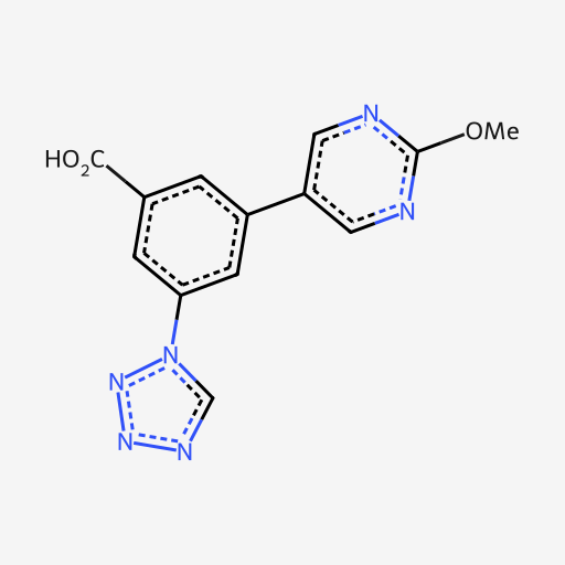 COc1ncc(-c2cc(C(=O)O)cc(-n3cnnn3)c2)cn1